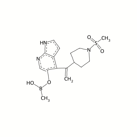 C=C(c1c(OB(C)O)cnc2[nH]ccc12)C1CCN(S(C)(=O)=O)CC1